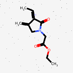 C=C1CN(CC(=O)OCC)C(=O)/C1=C/C